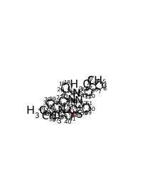 CC1(C)c2ccccc2-c2ccc(-c3nc(-c4ccccc4-c4ccc5c(c4)-c4cccc6c4-c4c(ccc7c8ccccc8n-5c47)C6(C)C)nc(-c4cccc5sc6ccccc6c45)n3)cc21